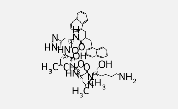 CC(C)C[C@H](NC(=O)C[C@H](O)[C@H](CC(C)C)NC(=O)[C@H](Cc1c[nH]cn1)NC(=O)C(Cc1cccc2ccccc12)Cc1cccc2ccccc12)C(=O)N[C@H](CO)CCCCN